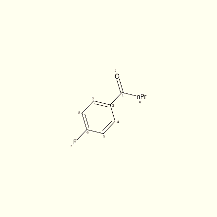 C[CH]CC(=O)c1ccc(F)cc1